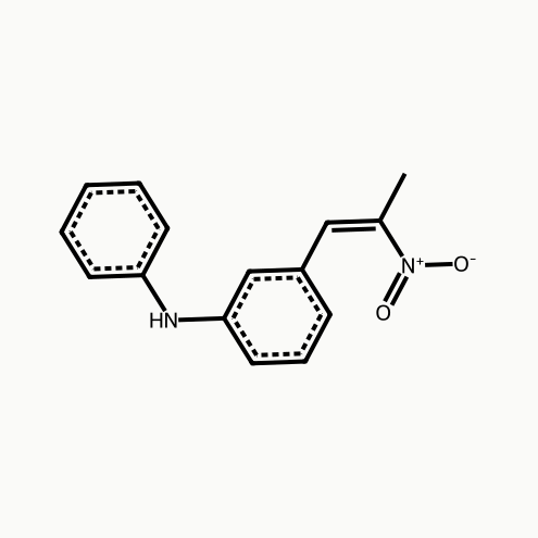 CC(=Cc1cccc(Nc2ccccc2)c1)[N+](=O)[O-]